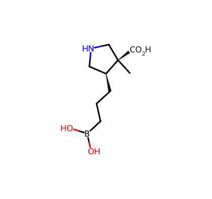 C[C@@]1(C(=O)O)CNC[C@@H]1CCCB(O)O